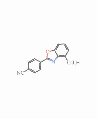 N#Cc1ccc(-c2nc3c(C(=O)O)cccc3o2)cc1